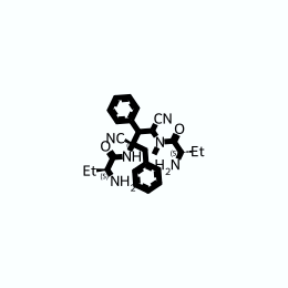 CC[C@H](N)C(=O)N[C@@](C#N)(Cc1ccccc1)C(c1ccccc1)C(C#N)N(C)C(=O)[C@@H](N)CC